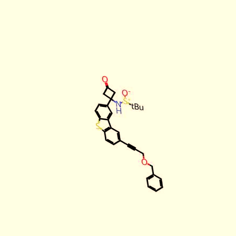 CC(C)(C)[S+]([O-])NC1(c2ccc3sc4ccc(C#CCOCc5ccccc5)cc4c3c2)CC(=O)C1